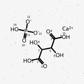 O=C(O)C(O)C(O)C(=O)O.O=P([O-])([O-])O.[Ca+2]